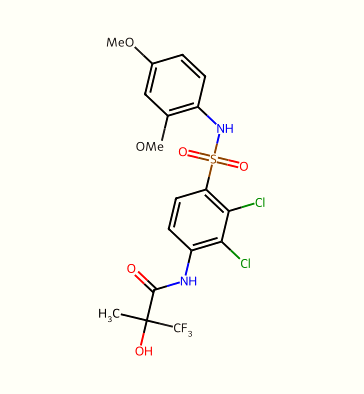 COc1ccc(NS(=O)(=O)c2ccc(NC(=O)C(C)(O)C(F)(F)F)c(Cl)c2Cl)c(OC)c1